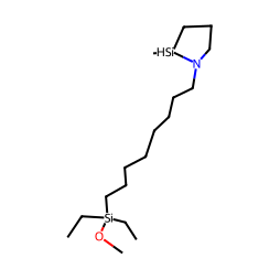 CC[Si](CC)(CCCCCCCCN1CCC[SiH]1C)OC